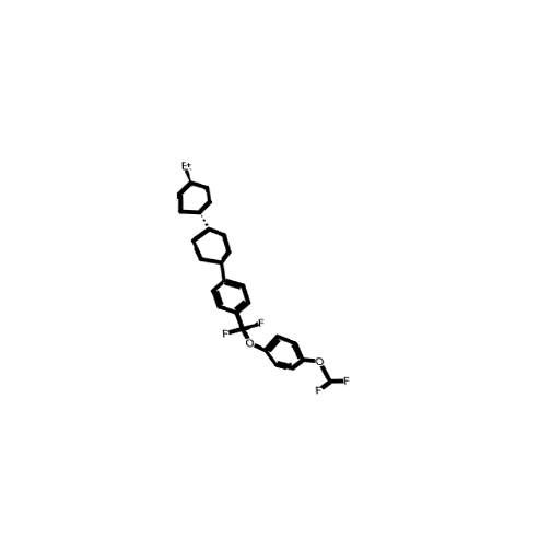 CC[C@H]1CC[C@H](C2CCC(c3ccc(C(F)(F)Oc4ccc(OC(F)F)cc4)cc3)CC2)CC1